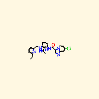 CCc1cccc(Cn2nc(C)c3c(NC(=O)c4cnc5cc(Cl)ccn45)cccc32)n1